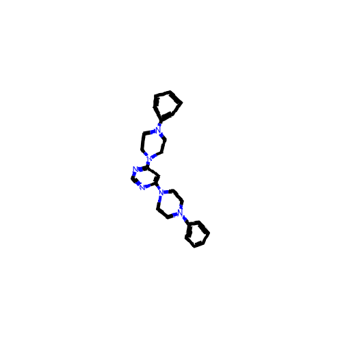 c1ccc(N2CCN(c3cc(N4CCN(c5ccccc5)CC4)ncn3)CC2)cc1